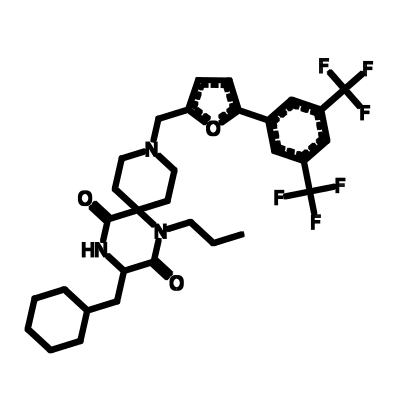 CCCN1C(=O)C(CC2CCCCC2)NC(=O)C12CCN(Cc1ccc(-c3cc(C(F)(F)F)cc(C(F)(F)F)c3)o1)CC2